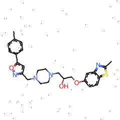 Cc1ccc(-c2cc(CN3CCN(C[C@H](O)COc4ccc5sc(C)nc5c4)CC3)no2)cc1